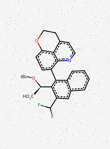 CC(C)(C)O[C@H](C(=O)O)c1c(C(F)F)cc2ccccc2c1-c1ccc2c3c(ccnc13)CCO2